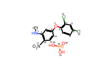 CCNc1cc(Oc2ccc(Cl)cc2Cl)ccc1[N+](=O)[O-].O=[PH](O)O